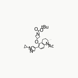 CC(=O)N1c2ccc(-c3cnn(C4CC4)c3)c(OC3CN(C(=O)OC(C)(C)C)C3)c2CC[C@@H]1C